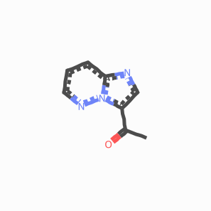 CC(=O)c1cnc2cccnn12